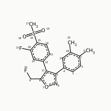 Cc1ccc(-c2noc(CF)c2-c2ccc(S(C)(=O)=O)c(F)c2)cc1C